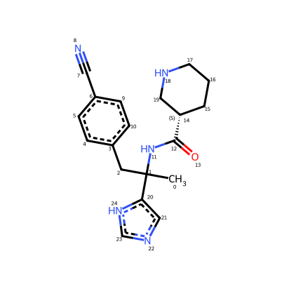 CC(Cc1ccc(C#N)cc1)(NC(=O)[C@H]1CCCNC1)c1cnc[nH]1